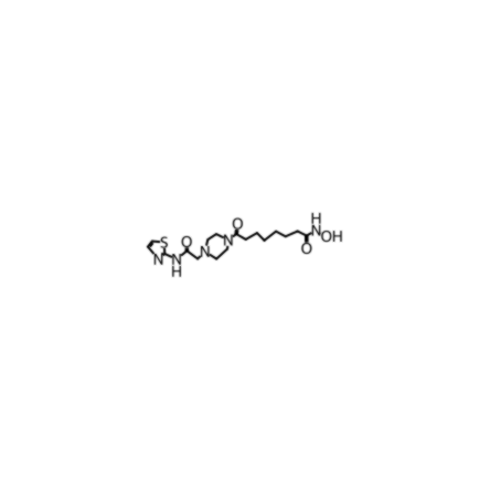 O=C(CCCCCCC(=O)N1CCN(CC(=O)Nc2nccs2)CC1)NO